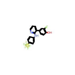 Oc1ccc(-c2cccnc2Nc2ccc(S(F)(F)(F)(F)F)cc2)cc1F